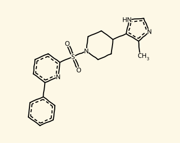 Cc1nc[nH]c1C1CCN(S(=O)(=O)c2cccc(-c3ccccc3)n2)CC1